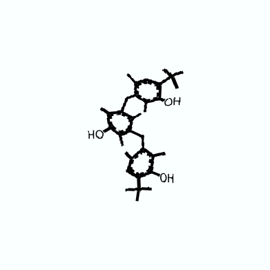 Cc1cc(C(C)(C)C)c(O)c(C)c1Cc1c(C)c(O)c(C)c(Cc2c(C)cc(C(C)(C)C)c(O)c2C)c1C